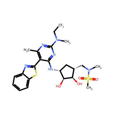 Cc1nc(N(C)CC(F)(F)F)nc(N[C@@H]2C[C@H](CN(C)S(C)(=O)=O)[C@@H](O)[C@H]2O)c1-c1nc2ccccc2s1